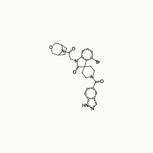 O=C(c1ccc2[nH]ncc2c1)N1CCC2(CC1)C(=O)N(CC(=O)N1C3CCC1COC3)c1cccc(Br)c12